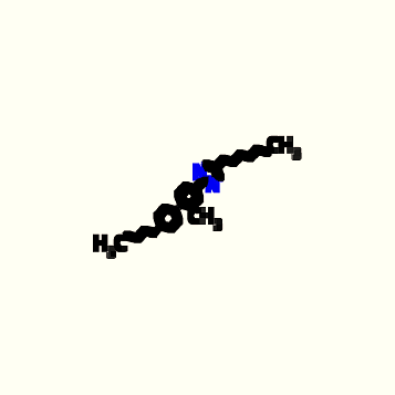 CCCCCCCc1cnc(-c2ccc([C@H]3CC[C@H](CCCCC)CC3)c(C)c2)nc1